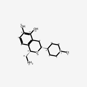 CCN1CCC([C@H]2Cc3c(ccc(O)c3O)[C@@H](CN)O2)CC1